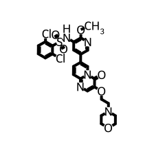 COc1ncc(-c2ccc3ncc(OCCN4CCOCC4)c(=O)n3c2)cc1NS(=O)(=O)c1c(Cl)cccc1Cl